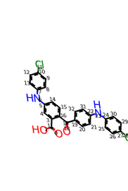 O=C(O)c1cc(Nc2ccc(Cl)cc2)ccc1C(=O)c1ccc(Nc2ccc(Cl)cc2)cc1